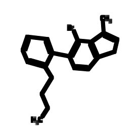 CCCCc1ccccc1-c1ccc2c(c1Br)C(C)=CC2